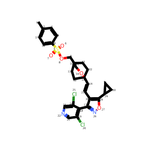 Cc1ccc(S(=O)(=O)OCC23CCC(/C=C/c4c(-c5c(Cl)cncc5Cl)noc4C4CC4)(CC2)OC3)cc1